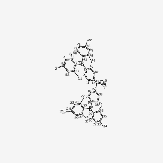 C=C.Cc1cc(C)c(B(c2ccc(C(=O)c3ccc(B(c4c(C)cc(C)cc4C)c4c(C)cc(C)cc4C)cc3)cc2)c2c(C)cc(C)cc2C)c(C)c1